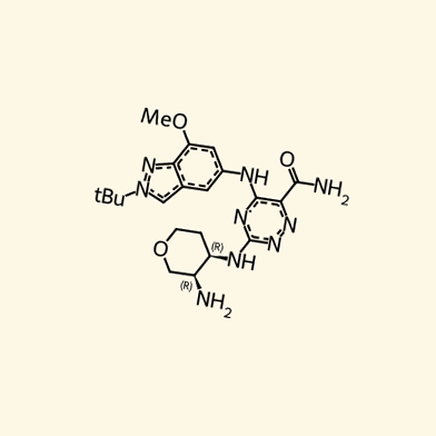 COc1cc(Nc2nc(N[C@@H]3CCOC[C@@H]3N)nnc2C(N)=O)cc2cn(C(C)(C)C)nc12